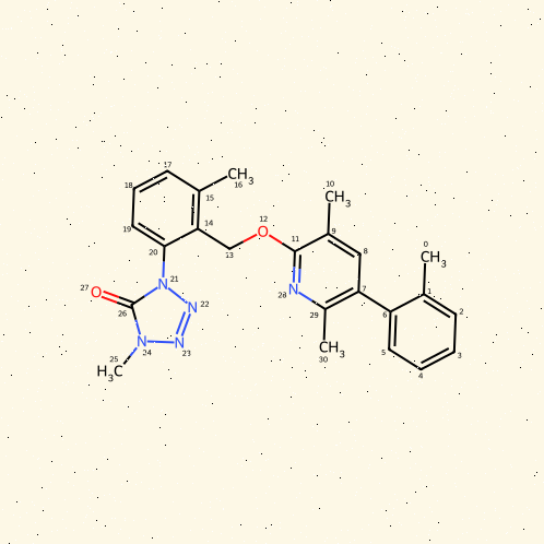 Cc1ccccc1-c1cc(C)c(OCc2c(C)cccc2-n2nnn(C)c2=O)nc1C